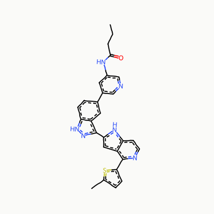 CCCC(=O)Nc1cncc(-c2ccc3[nH]nc(-c4cc5c(-c6ccc(C)s6)nccc5[nH]4)c3c2)c1